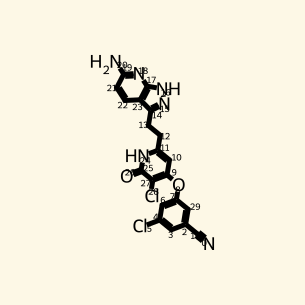 N#Cc1cc(Cl)cc(Oc2cc(CCc3n[nH]c4nc(N)ccc34)[nH]c(=O)c2Cl)c1